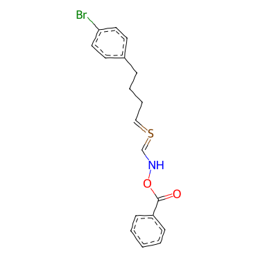 O=C(ONC=S=CCCCc1ccc(Br)cc1)c1ccccc1